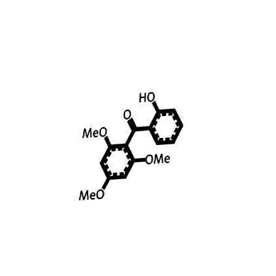 COc1cc(OC)c(C(=O)c2ccccc2O)c(OC)c1